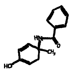 CC1(NC(=O)c2ccccc2)C=CC(O)=CC1